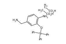 CC(=O)O.CC(=O)O.CC(C)[Si](Oc1cc(CN)ccc1N)(C(C)C)C(C)C